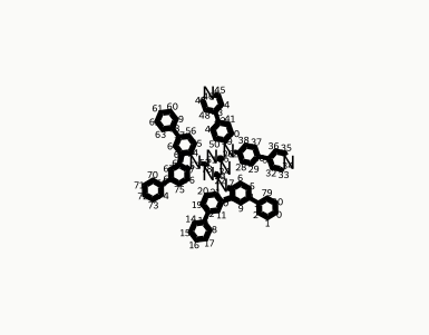 c1ccc(-c2ccc3c(c2)c2cc(-c4ccccc4)ccc2n3-c2nc(N(c3ccc(-c4ccncc4)cc3)c3ccc(-c4ccncc4)cc3)nc(-n3c4ccc(-c5ccccc5)cc4c4cc(-c5ccccc5)ccc43)n2)cc1